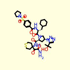 CC(C)(O)c1cnnn1[C@H]1C[C@@H](C(=O)NC2(C(=O)C(N)=O)CCSCC2)N(C(=O)[C@@H](CC2CCCCC2)NC(=O)c2ccc(S(=O)(=O)N3CCCC3)cc2)C1